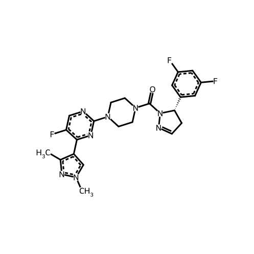 Cc1nn(C)cc1-c1nc(N2CCN(C(=O)N3N=CC[C@H]3c3cc(F)cc(F)c3)CC2)ncc1F